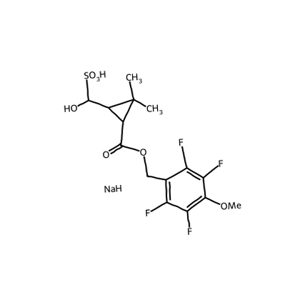 COc1c(F)c(F)c(COC(=O)C2C(C(O)S(=O)(=O)O)C2(C)C)c(F)c1F.[NaH]